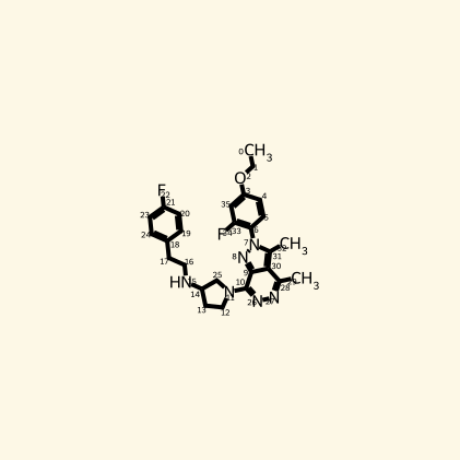 CCOc1ccc(-n2nc3c(N4CCC(NCCc5ccc(F)cc5)C4)nnc(C)c3c2C)c(F)c1